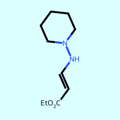 CCOC(=O)C=CNN1CCCCC1